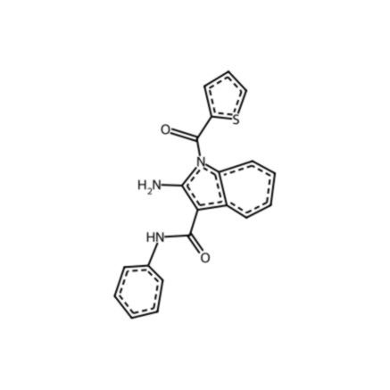 Nc1c(C(=O)Nc2ccccc2)c2ccccc2n1C(=O)c1cccs1